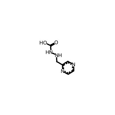 O=C(O)NNCc1cnccn1